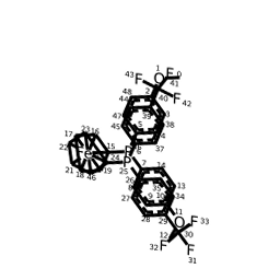 COc1ccc(P(c2ccc(OC)cc2)[C]23[CH]4[CH]5[CH]6[CH]2[Fe]56432789[CH]3[CH]2[CH]7[C]8(P(c2ccc(C(F)(F)F)cc2)c2ccc(C(F)(F)F)cc2)[CH]39)cc1